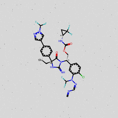 C=N/C=N\N(c1cc([C@@H](COC(=O)N[C@@H]2CC2(F)F)N2C(=N)N[C@](CC(C)(C)C)(c3ccc(-c4cnn(C(F)F)c4)cc3)C2=O)ccc1Cl)C(F)F